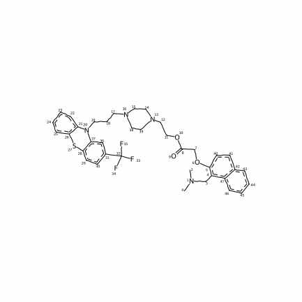 CN(C)Cc1c(OCC(=O)OCCN2CCN(CCCN3c4ccccc4Sc4ccc(C(F)(F)F)cc43)CC2)ccc2ccccc12